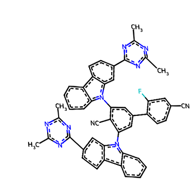 Cc1nc(C)nc(-c2ccc3c4ccccc4n(-c4cc(-c5ccc(C#N)cc5F)cc(-n5c6ccccc6c6ccc(-c7nc(C)nc(C)n7)cc65)c4C#N)c3c2)n1